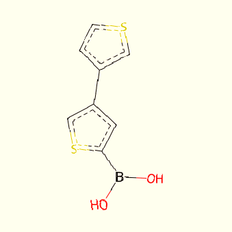 OB(O)c1cc(-c2ccsc2)cs1